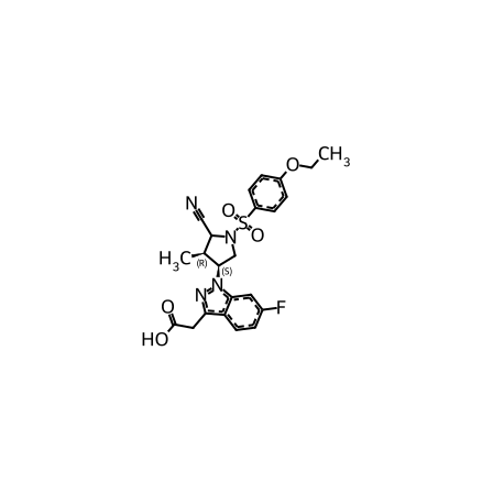 CCOc1ccc(S(=O)(=O)N2C[C@@H](n3nc(CC(=O)O)c4ccc(F)cc43)[C@@H](C)C2C#N)cc1